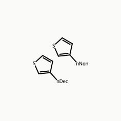 CCCCCCCCCCc1ccsc1.CCCCCCCCCc1ccsc1